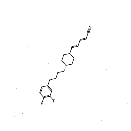 N#CC=CC=C[C@H]1CC[C@H](CCCCc2ccc(F)c(F)c2)CC1